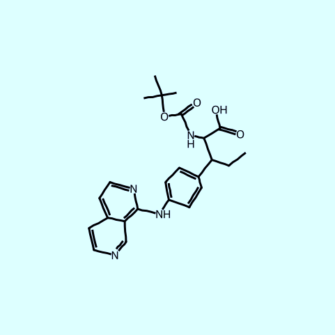 CCC(c1ccc(Nc2nccc3ccncc23)cc1)C(NC(=O)OC(C)(C)C)C(=O)O